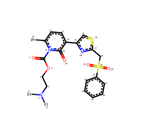 CCN(CC)CCOC(=O)n1c(C(C)C)ccc(-c2csc(CS(=O)(=O)c3ccccc3)n2)c1=O